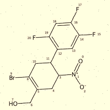 O=[N+]([O-])C1CC(CO)=C(Br)CC1c1cc(F)c(F)cc1F